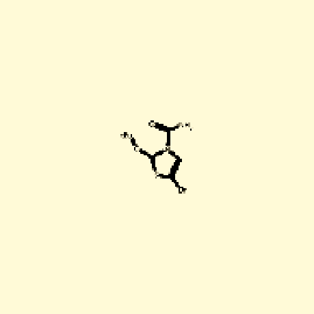 CC(C)(C)OC1SC(Br)=CN1C(N)=O